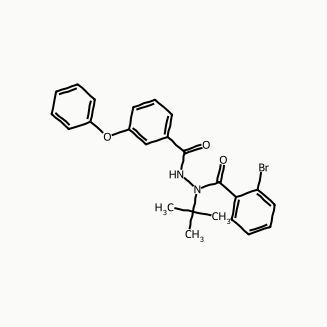 CC(C)(C)N(NC(=O)c1cccc(Oc2ccccc2)c1)C(=O)c1ccccc1Br